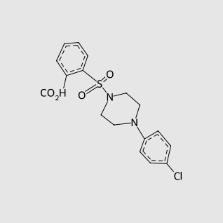 O=C(O)c1ccccc1S(=O)(=O)N1CCN(c2ccc(Cl)cc2)CC1